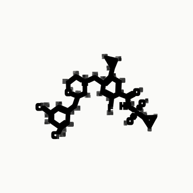 O=C(NS(=O)(=O)C1CC1)c1cc(C2CC2)c(CN2CCOC(Cc3cc(Cl)cc(Cl)c3)C2)cc1F